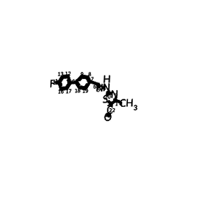 CC1=NC(NN=Cc2ccc(-c3ccc(F)cc3)cc2)SC1=C=O